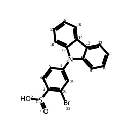 O=S(O)c1ccc(-n2c3ccccc3c3ccccc32)cc1Br